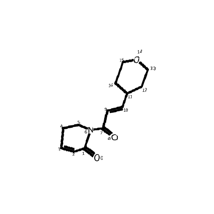 O=C1C=CCCN1C(=O)/C=C/C1CCOCC1